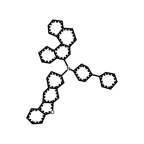 c1ccc(-c2ccc(N(c3ccc4cc5c(cc4c3)oc3ccccc35)c3cc4ccc5ccccc5c4c4ccccc34)cc2)cc1